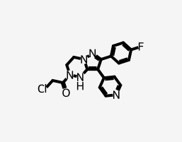 O=C(CCl)N1CCn2nc(-c3ccc(F)cc3)c(-c3ccncc3)c2N1